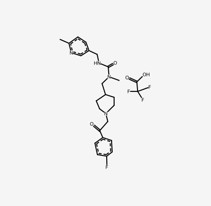 Cc1ccc(CNC(=O)N(C)CC2CCN(CC(=O)c3ccc(F)cc3)CC2)cn1.O=C(O)C(F)(F)F